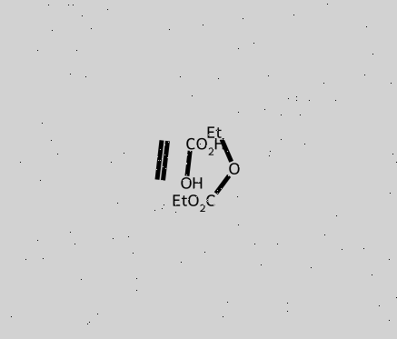 C=C.CCOC(=O)OCC.O=C(O)O